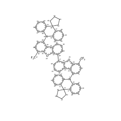 FC(F)(F)c1ccc(N2c3ccccc3C3(CCCC3)c3ccccc32)c2c1oc1c(-c3cccc4c3oc3c(C(F)(F)F)ccc(N5c6ccccc6C6(CCCC6)c6ccccc65)c34)cccc12